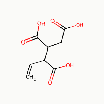 C=CC(C(=O)O)C(CC(=O)O)C(=O)O